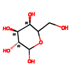 OCC1OC(O)[C@H](O)[C@@H](O)[C@H]1O